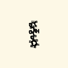 CC(C)C[C@@H]([C]=O)NC(=O)COc1ccccc1